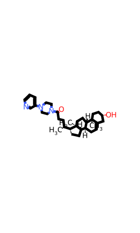 C[C@H](CCC(=O)N1CCN(c2cccnc2)CC1)[C@H]1CC[C@H]2[C@@H]3CC=C4C[C@@H](O)CC[C@]4(C)[C@H]3CC[C@]12C